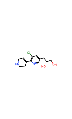 OC[C@H](O)Cc1cnc(C2=CCNCC2)c(Cl)c1